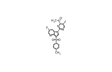 Cc1ccc(S(=O)(=O)n2cc(-c3ncc(I)c([S+](C)[O-])n3)c3cc(F)cnc32)cc1